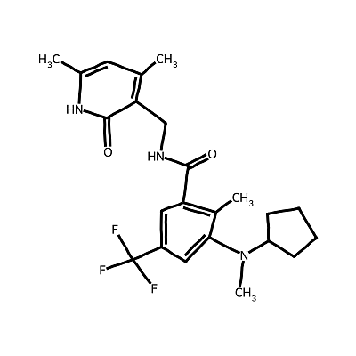 Cc1cc(C)c(CNC(=O)c2cc(C(F)(F)F)cc(N(C)C3CCCC3)c2C)c(=O)[nH]1